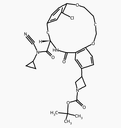 CC(C)(C)OC(=O)N1CC(c2ccc3c(c2)C(=O)N[C@H](C(=O)N(C#N)C2CC2)Cc2ccc(c(Cl)c2)OCCCCO3)C1